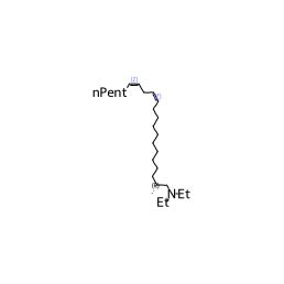 CCCCC/C=C\C/C=C\CCCCCCCCC[C@@H](C)CN(CC)CC